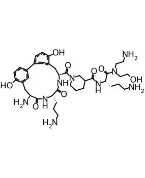 NCCC[C@@H]1NC(=O)[C@@H](N)Cc2cc(ccc2O)-c2ccc(O)c(c2)C[C@@H](C(=O)N2CCCC(C(=O)N[C@@H](CCCN)C(=O)N(CCN)CCO)C2)NC1=O